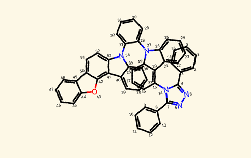 c1ccc(-c2nnc(-c3ccccc3)n2-c2cccc3c2c2ccccc2n3-c2ccccc2-n2c3ccccc3c3c4oc5ccccc5c4ccc32)cc1